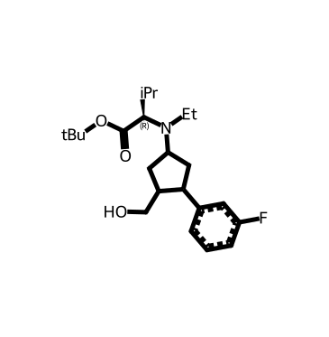 CCN(C1CC(CO)C(c2cccc(F)c2)C1)[C@@H](C(=O)OC(C)(C)C)C(C)C